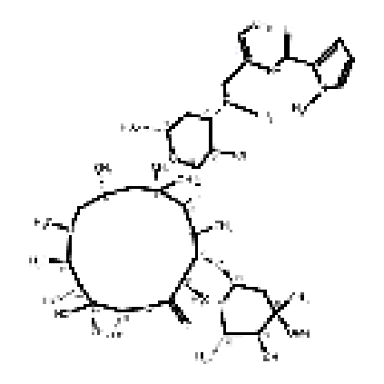 C/C=C(/CN(C)[C@H]1C[C@@H](C)O[C@@H](O[C@@H]2[C@@H](C)[C@H](O[C@H]3C[C@@](C)(OC)[C@@H](O)[C@H](C)O3)[C@@H](C)C(=O)O[C@H](CC)[C@@](C)(O)[C@H](O)[C@@H](C)N(C)C[C@H](C)C[C@@]2(C)O)[C@@H]1O)NC(=O)c1cccn1C